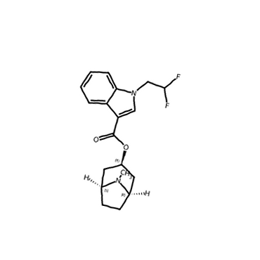 CN1[C@@H]2CC[C@H]1C[C@@H](OC(=O)c1cn(CC(F)F)c3ccccc13)C2